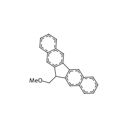 COCC1c2cc3ccccc3cc2-c2cc3ccccc3cc21